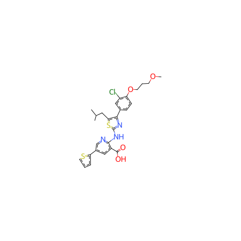 COCCCOc1ccc(-c2nc(Nc3ncc(-c4cccs4)cc3C(=O)O)sc2CC(C)C)cc1Cl